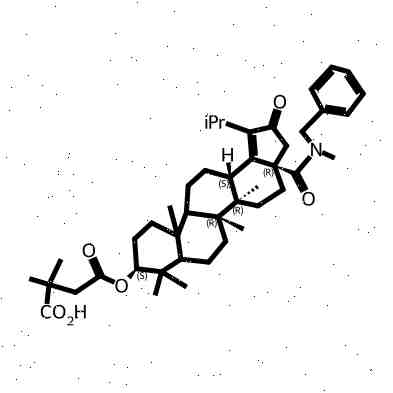 CC(C)C1=C2[C@H]3CCC4C5(C)CC[C@H](OC(=O)CC(C)(C)C(=O)O)C(C)(C)C5CC[C@@]4(C)[C@]3(C)CC[C@@]2(C(=O)N(C)Cc2ccccc2)CC1=O